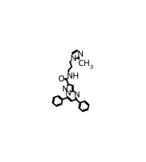 Cc1nccn1CCCNC(=O)c1cc2nc(-c3ccccc3)cc(-c3ccccc3)n2n1